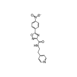 O=C(NCCc1ccncc1)c1noc(-c2ccc([N+](=O)[O-])cc2)n1